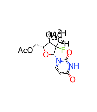 [2H][13C]([2H])([2H])[C@@]1(F)[C@H](OC(C)=O)[C@@H](COC(C)=O)O[C@H]1n1ccc(=O)[nH]c1=O